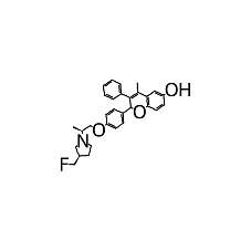 CC1=C(c2ccccc2)C(c2ccc(OC[C@H](C)N3CC[C@@H](CF)C3)cc2)Oc2ccc(O)cc21